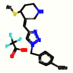 COc1ccc(Cn2cc(C=C3CNCCC3SC(C)=O)nn2)cc1.O=C(O)C(F)(F)F